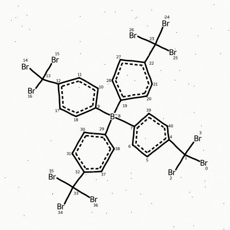 BrC(Br)(Br)c1ccc([B-](c2ccc(C(Br)(Br)Br)cc2)(c2ccc(C(Br)(Br)Br)cc2)c2ccc(C(Br)(Br)Br)cc2)cc1